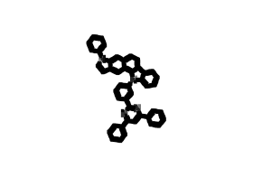 c1ccc(-c2cc(-c3ccccc3)nc(-c3cccc(-n4c5ccccc5c5ccc6cc7c(ccn7-c7ccccc7)cc6c54)c3)n2)cc1